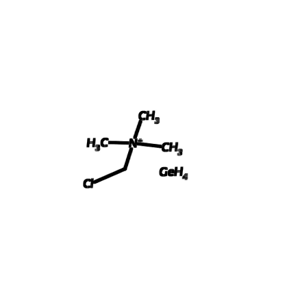 C[N+](C)(C)CCl.[GeH4]